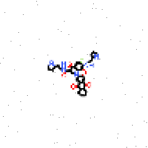 CN1CCCC1CCNC(=O)c1cn2c3cc4c(=O)c5ccccc5c(=O)c4cc3oc3c(NCCC4CCCN4C)c(F)cc(c1=O)c32